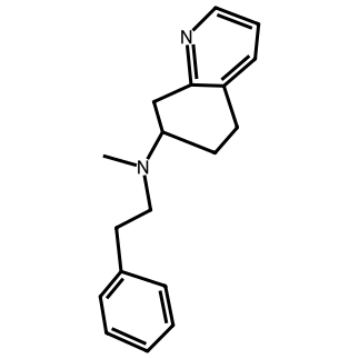 CN(CCc1ccccc1)C1CCc2cccnc2C1